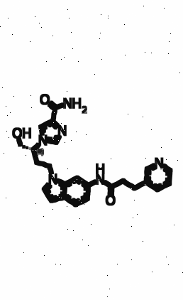 NC(=O)c1cn([C@@H](CO)CCn2ccc3ccc(NC(=O)CCc4cccnc4)cc32)cn1